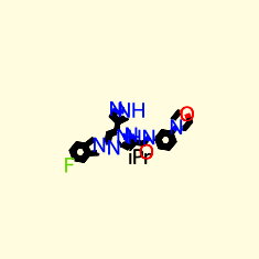 CC(C)c1c(C(=O)Nc2cccc(N3CCOCC3)c2)nn2c(-c3cn[nH]c3)cc(N3Cc4ccc(F)cc4C3)nc12